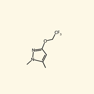 Cc1cc(OCC(F)(F)F)nn1C